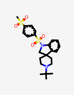 CC(C)(C)N1CCC2(CC1)CN(S(=O)(=O)c1ccc(S(C)(=O)=O)cc1)c1ccccc12